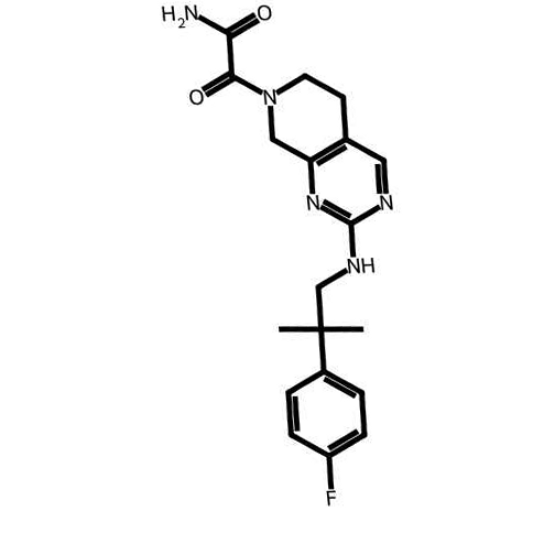 CC(C)(CNc1ncc2c(n1)CN(C(=O)C(N)=O)CC2)c1ccc(F)cc1